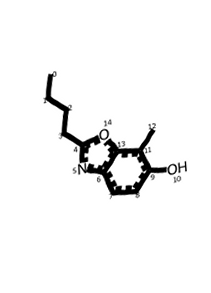 CCCCc1nc2ccc(O)c(C)c2o1